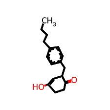 CCCCc1ccc(CC2C=C(O)CCC2=O)cc1